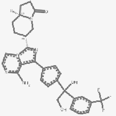 Nc1nccn2c([C@@H]3CC[C@H]4CCC(=O)N4C3)nc(-c3ccc(C(O)(CO)c4cccc(C(F)(F)F)c4)cc3)c12